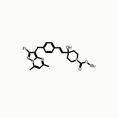 CCc1nn2c(C)cc(C)nc2c1Cc1ccc(C=CC2(O)CCN(C(=O)OC(C)(C)C)CC2)cc1